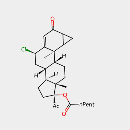 CCCCCC(=O)O[C@]1(C(C)=O)CC[C@H]2[C@@H]3C[C@@H](Cl)C4=CC(=O)C5CC5[C@@]4(C)[C@@H]3CC[C@@]21C